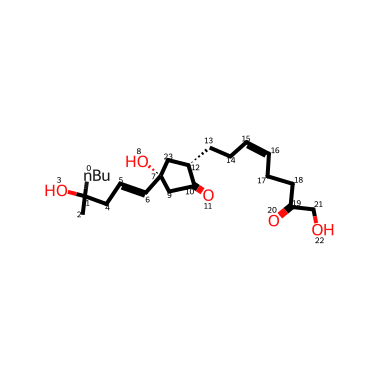 CCCCC(C)(O)C/C=C/[C@]1(O)CC(=O)[C@@H](CC/C=C\CCC(=O)CO)C1